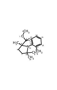 COC(=O)[C@@]1(C)CCC(C)(C)N1c1ccccc1C